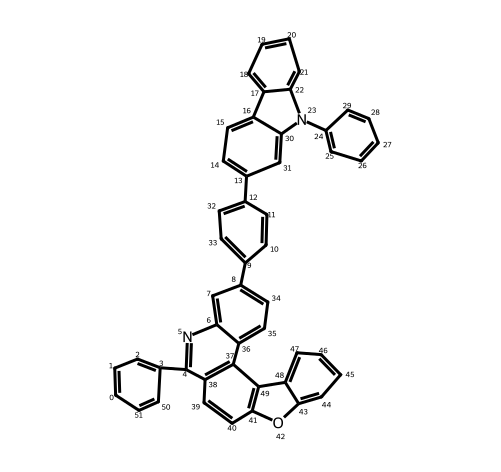 c1ccc(-c2nc3cc(-c4ccc(-c5ccc6c7ccccc7n(-c7ccccc7)c6c5)cc4)ccc3c3c2ccc2oc4ccccc4c23)cc1